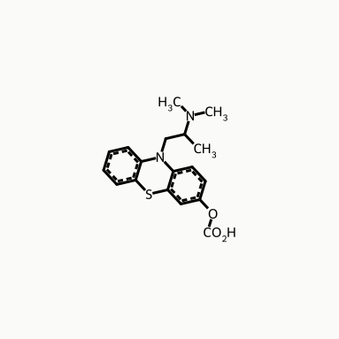 CC(CN1c2ccccc2Sc2cc(OC(=O)O)ccc21)N(C)C